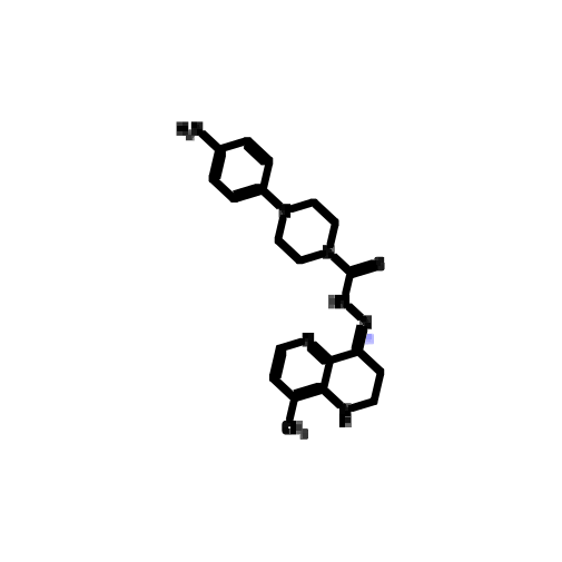 Cc1ccnc2c1NCC/C2=N/NC(=S)N1CCN(c2ccc(N)cc2)CC1